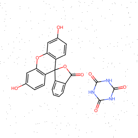 O=C1OC2(c3ccc(O)cc3Oc3cc(O)ccc32)c2ccccc21.O=c1[nH]c(=O)[nH]c(=O)[nH]1